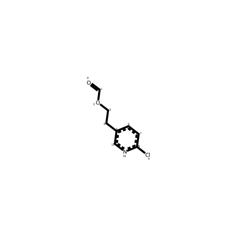 O=[C]OCCc1ccc(Cl)nc1